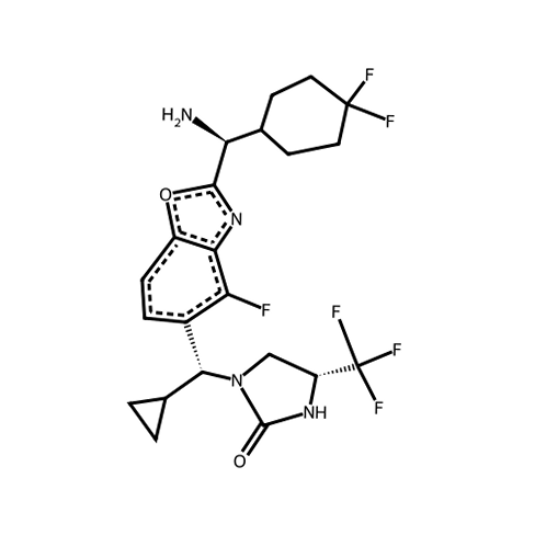 N[C@H](c1nc2c(F)c([C@@H](C3CC3)N3C[C@H](C(F)(F)F)NC3=O)ccc2o1)C1CCC(F)(F)CC1